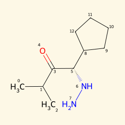 CC(C)C(=O)[C@@H](NN)C1CCCC1